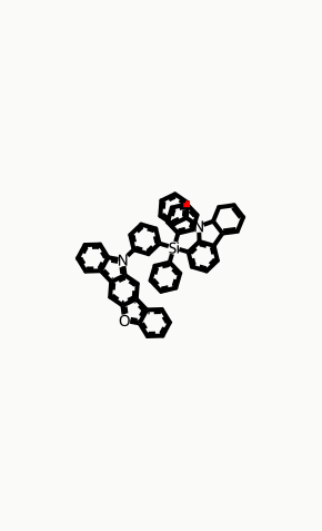 C1=CCC2C(=C1)c1cccc([Si](c3ccccc3)(c3ccccc3)c3cccc(-n4c5ccccc5c5cc6oc7ccccc7c6cc54)c3)c1N2c1ccccc1